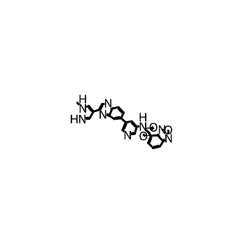 CN/C=C(\C=N)c1cnc2ccc(-c3cncc(NS(=O)(=O)c4cccc5nonc45)c3)cc2n1